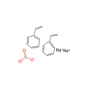 C=Cc1ccccc1.C=Cc1ccccc1.O=S([O-])[O-].[Na+].[Na+]